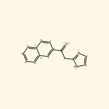 O=C(Cc1ncc[nH]1)c1ccc2ccccc2c1